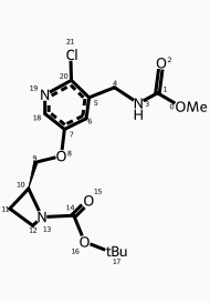 COC(=O)NCc1cc(OC[C@@H]2CCN2C(=O)OC(C)(C)C)cnc1Cl